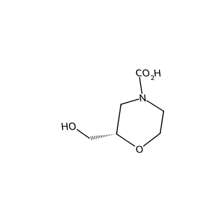 O=C(O)N1CCO[C@H](CO)C1